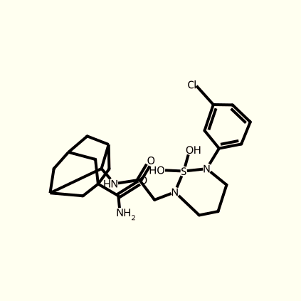 NC(=O)C12CC3CC(C1)C(NC(=O)CN1CCCN(c4cccc(Cl)c4)S1(O)O)C(C3)C2